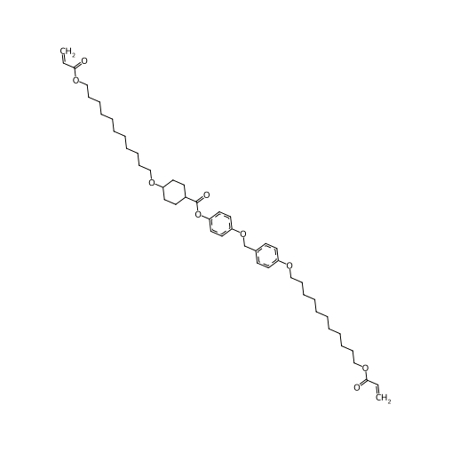 C=CC(=O)OCCCCCCCCCCCOc1ccc(COc2ccc(OC(=O)C3CCC(OCCCCCCCCCCCOC(=O)C=C)CC3)cc2)cc1